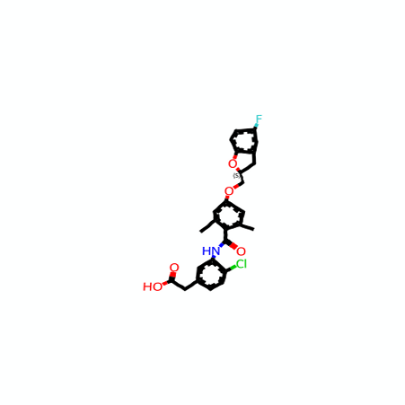 Cc1cc(OC[C@@H]2Cc3cc(F)ccc3O2)cc(C)c1C(=O)Nc1cc(CC(=O)O)ccc1Cl